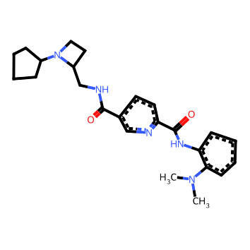 CN(C)c1ccccc1NC(=O)c1ccc(C(=O)NCC2CCN2C2CCCC2)cn1